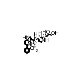 O=C(NC1=CCNC(OCC(O)CO)N1)C1=CNC2C=CC(c3ccccc3C(F)(F)F)NN12